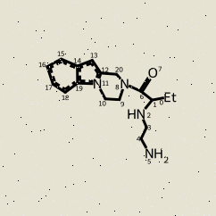 CCC(NCCN)C(=O)N1CCn2c(cc3ccccc32)C1